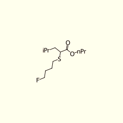 CCCOC(=O)C(CC(C)C)SCCCCF